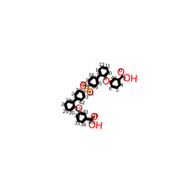 O=C(O)c1cccc(Oc2ccccc2-c2ccc(S(=O)(=O)c3ccc(-c4ccccc4Oc4cccc(C(=O)O)c4)cc3)cc2)c1